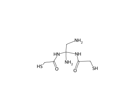 NCC(N)(NC(=O)CS)NC(=O)CS